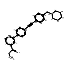 COC(=O)c1ccnc(-c2ccc(C#Cc3ccc(CN4CCCCC4)cc3)cc2)c1